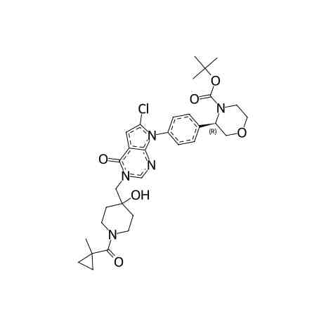 CC(C)(C)OC(=O)N1CCOC[C@H]1c1ccc(-n2c(Cl)cc3c(=O)n(CC4(O)CCN(C(=O)C5(C)CC5)CC4)cnc32)cc1